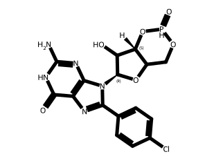 Nc1nc2c(nc(-c3ccc(Cl)cc3)n2[C@@H]2OC3CO[PH](=O)O[C@H]3C2O)c(=O)[nH]1